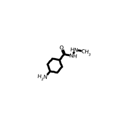 CNNC(=O)C1CCC(N)CC1